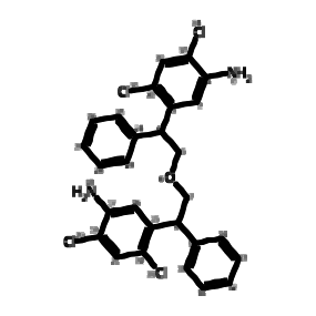 Nc1cc(C(COCC(c2ccccc2)c2cc(N)c(Cl)cc2Cl)c2ccccc2)c(Cl)cc1Cl